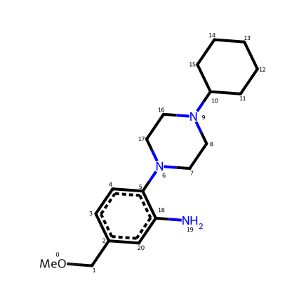 COCc1ccc(N2CCN(C3CCCCC3)CC2)c(N)c1